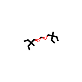 CCC(C)(CC)COCOCC(C)(CC)CC